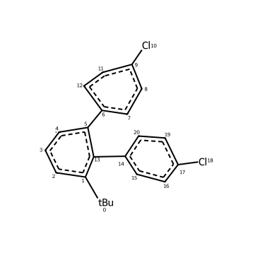 CC(C)(C)c1cc[c]c(-c2ccc(Cl)cc2)c1-c1ccc(Cl)cc1